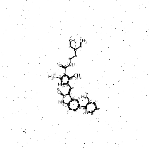 CCN(CC)CCNC(=O)c1c(C)[nH]c(/C=C2\C(=O)Nc3ccc(-c4ncccc4C)cc32)c1C